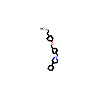 O=C(O)CCc1ccc(OCc2ccc(CN3CC=C(C4=CCCC=C4)CC3)cc2)cc1